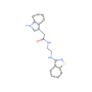 Cn1cc(CC(=O)NCCNc2nsc3ccccc23)c2ccccc21